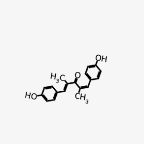 CC(=Cc1ccc(O)cc1)C(=O)C(C)=Cc1ccc(O)cc1